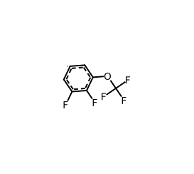 Fc1c[c]cc(OC(F)(F)F)c1F